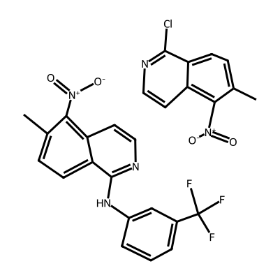 Cc1ccc2c(Cl)nccc2c1[N+](=O)[O-].Cc1ccc2c(Nc3cccc(C(F)(F)F)c3)nccc2c1[N+](=O)[O-]